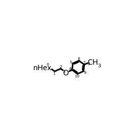 CCCCCCCCOc1ccc(C)cc1